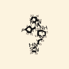 Fc1ccc(Cn2c(NC3CCN(CCCNc4nccs4)CC3)nc3cccnc32)cc1